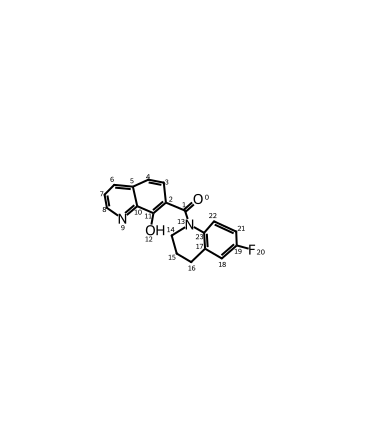 O=C(c1ccc2cccnc2c1O)N1CCCc2cc(F)ccc21